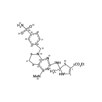 CCOC(=O)C1=CNC(C)(Nc2nc(NC)c3c(n2)N(Cc2ccc(S(N)(=O)=O)cc2)CCC3)S1